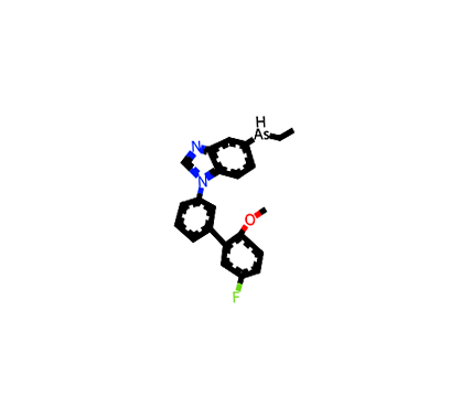 CC[AsH]c1ccc2c(c1)ncn2-c1cccc(-c2cc(F)ccc2OC)c1